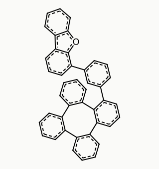 c1cc(-c2cccc3c2-c2ccccc2-c2ccccc2-c2ccccc2-3)cc(-c2cccc3c2oc2ccccc23)c1